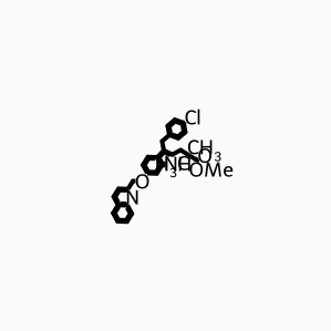 COC(=O)C(C)(C)Cc1[nH]c2cc(OCc3ccc4ccccc4n3)ccc2c1Cc1ccc(Cl)cc1